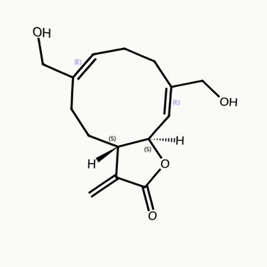 C=C1C(=O)O[C@@H]2/C=C(/CO)CC/C=C(/CO)CC[C@@H]12